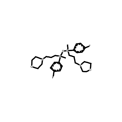 C[Si](CCCN1CCOCC1)(O[Si](C)(CCCN1CCOCC1)c1ccc(F)cc1)c1ccc(F)cc1